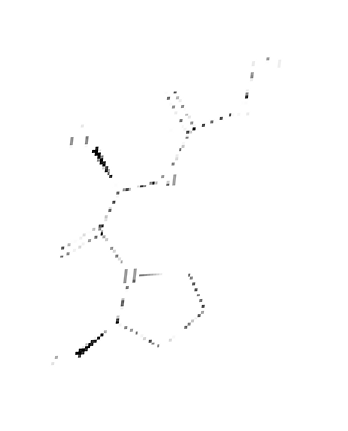 CC(=O)[C@@H]1CCCN1C(=O)[C@H](NC(=O)OC(C)(C)C)C(C)C